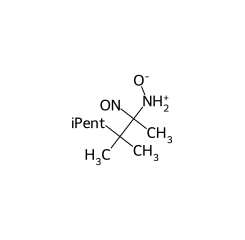 CCCC(C)C(C)(C)C(C)(N=O)[NH2+][O-]